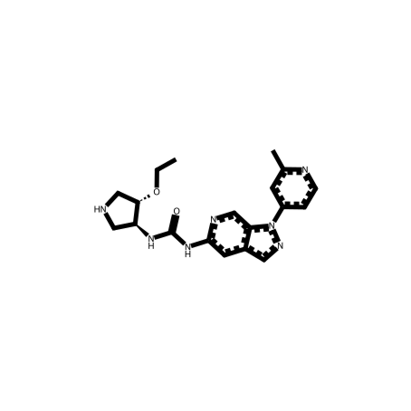 CCO[C@H]1CNC[C@@H]1NC(=O)Nc1cc2cnn(-c3ccnc(C)c3)c2cn1